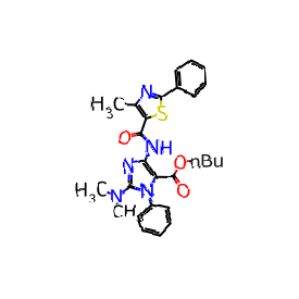 CCCCOC(=O)c1c(NC(=O)c2sc(-c3ccccc3)nc2C)nc(N(C)C)n1-c1ccccc1